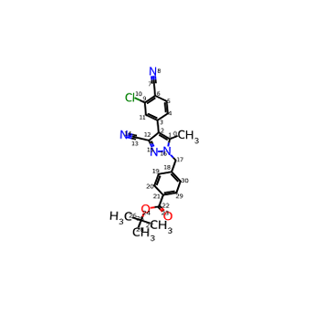 Cc1c(-c2ccc(C#N)c(Cl)c2)c(C#N)nn1Cc1ccc(C(=O)OC(C)(C)C)cc1